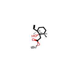 C=C[C@@]1(C)CCC[C@@H](C)[C@]1(O)CC(=O)OC(C)(C)C